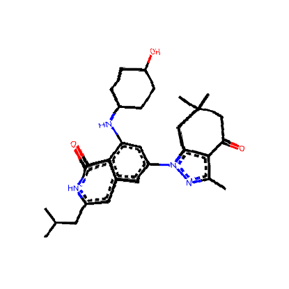 Cc1nn(-c2cc(NC3CCC(O)CC3)c3c(=O)[nH]c(CC(C)C)cc3c2)c2c1C(=O)CC(C)(C)C2